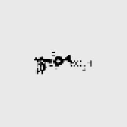 CC1=NN(CC(C)C)C(COc2c(F)cc(C3CC3C(=O)O)cc2F)C1